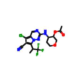 CC(=O)OC1COCCC1Nc1ncc2c(Cl)c(C#N)c(C(C)C(F)(F)F)n2n1